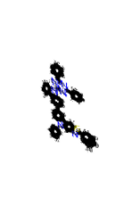 c1ccc(-c2nc(-c3ccccc3)nc(-n3c4ccccc4c4cc(-c5ccc6c(c5)c5cc7sc(-c8ccccc8)nc7cc5n6-c5ccccc5)ccc43)n2)cc1